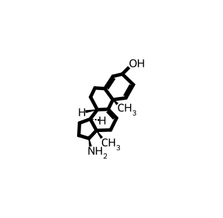 C[C@]12C=CC(O)C=C1CC[C@@H]1C2=CC[C@]2(C)[C@@H](N)CC[C@@H]12